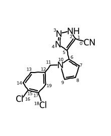 N#Cc1[nH]nnc1-c1cccn1Cc1ccc(Cl)c(Cl)c1